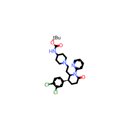 CC(C)(C)OC(=O)NC1CCN(CCC2[C@H](c3ccc(Cl)c(Cl)c3)CCC(=O)N2c2ccccn2)CC1